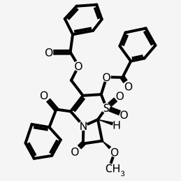 CO[C@H]1C(=O)N2C(C(=O)c3ccccc3)=C(COC(=O)c3ccccc3)C(OC(=O)c3ccccc3)S(=O)(=O)[C@H]12